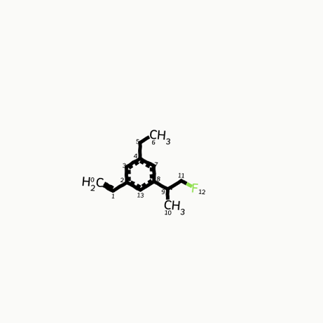 C=Cc1cc(CC)cc([C](C)CF)c1